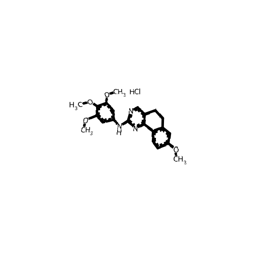 COc1ccc2c(c1)CCc1cnc(Nc3cc(OC)c(OC)c(OC)c3)nc1-2.Cl